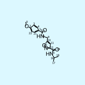 COc1ccc(C(=O)NCc2cc(C(=O)NC(C)C)no2)cc1